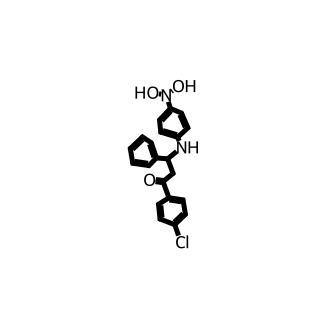 O=C(CC(Nc1ccc(N(O)O)cc1)c1ccccc1)c1ccc(Cl)cc1